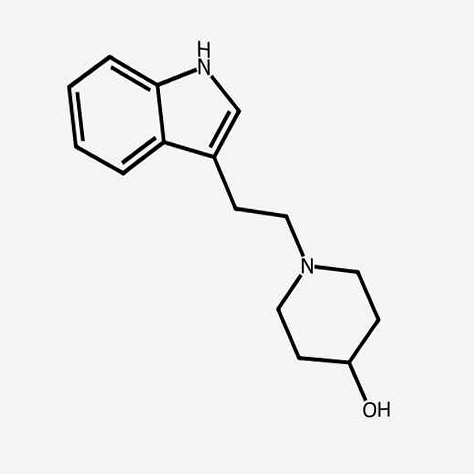 OC1CCN(CCc2c[nH]c3ccccc23)CC1